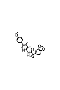 COc1ccc(-c2cnc(NC(=O)C3(c4ccc5c(c4)OCO5)CC3)c(C)c2C)cc1